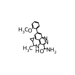 COc1ccccc1-c1ccc2c(NC(C)C3CC3)c(C(N)=O)nnc2c1